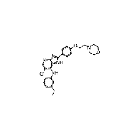 CCc1cccc(Nc2c(Cl)cnc3nc(-c4ccc(OCCN5CCOCC5)cc4)[nH]c23)c1